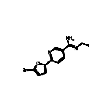 CC/N=C(\N)c1ccc(-c2ccc(Br)o2)nc1